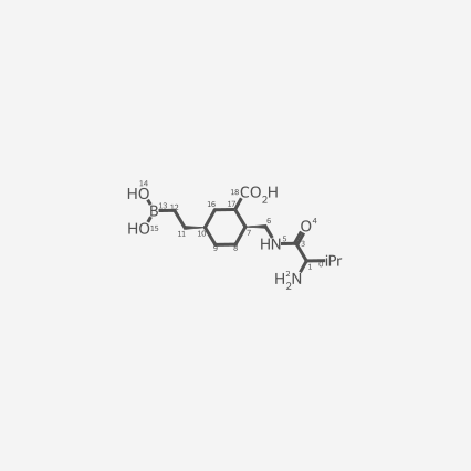 CC(C)C(N)C(=O)NC[C@H]1CC[C@@H](CCB(O)O)CC1C(=O)O